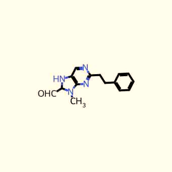 CN1c2nc(CCc3ccccc3)ncc2NC1C=O